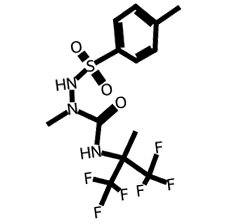 Cc1ccc(S(=O)(=O)NN(C)C(=O)NC(C)(C(F)(F)F)C(F)(F)F)cc1